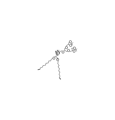 C=CCCCCCCCCCOCC(COCCCCCCCCCC=C)n1cc(COC(COCC2COC(C)(C)O2)COCC2COC(C)(C)O2)nn1